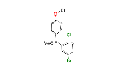 CCOc1ccc(C(OC)c2cc(Br)ccc2Cl)cc1